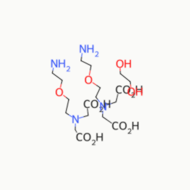 NCCOCCN(CC(=O)O)CC(=O)O.NCCOCCN(CC(=O)O)CC(=O)O.OCCO